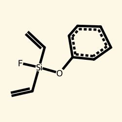 C=C[Si](F)(C=C)Oc1ccccc1